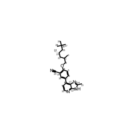 C[C](COc1ccc(-c2ccnc3[nH]c(C)nc23)cc1C#N)C[C@H](C)CC(C)(C)C